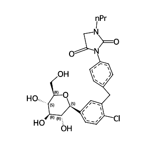 CCCN1CC(=O)N(c2ccc(Cc3cc([C@@H]4O[C@H](CO)[C@@H](O)[C@H](O)[C@H]4O)ccc3Cl)cc2)C1=O